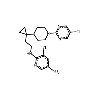 Nc1cnc(NCCC2(C3CCN(c4ncc(Cl)cn4)CC3)CC2)c(Cl)c1